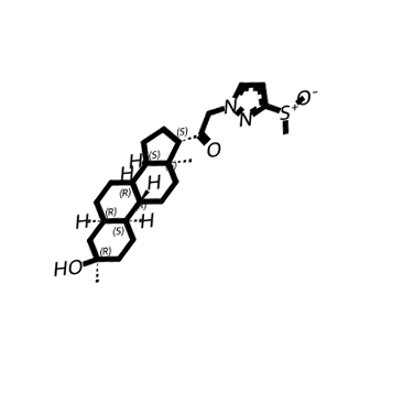 C[S+]([O-])c1ccn(CC(=O)[C@H]2CC[C@H]3[C@@H]4CC[C@@H]5C[C@](C)(O)CC[C@@H]5[C@H]4CC[C@]23C)n1